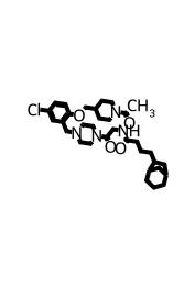 CC(=O)N1CCC(COc2ccc(Cl)cc2CN2CCN(C(=O)CNC(=O)CCCC3CC4CCCC3C4)CC2)CC1